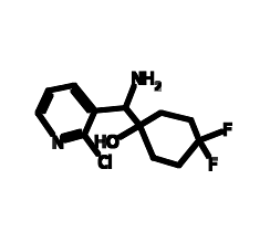 NC(c1cccnc1Cl)C1(O)CCC(F)(F)CC1